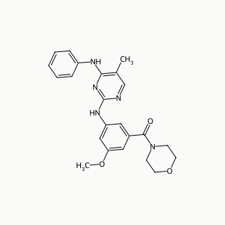 COc1cc(Nc2ncc(C)c(Nc3ccccc3)n2)cc(C(=O)N2CCOCC2)c1